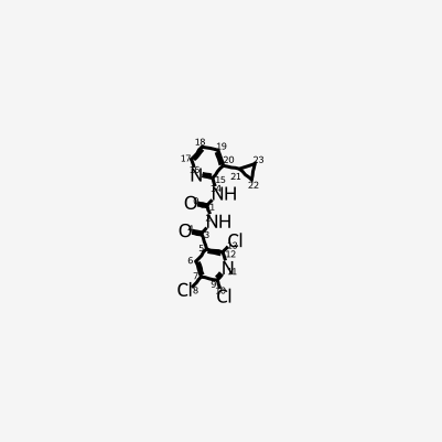 O=C(NC(=O)c1cc(Cl)c(Cl)nc1Cl)Nc1ncccc1C1CC1